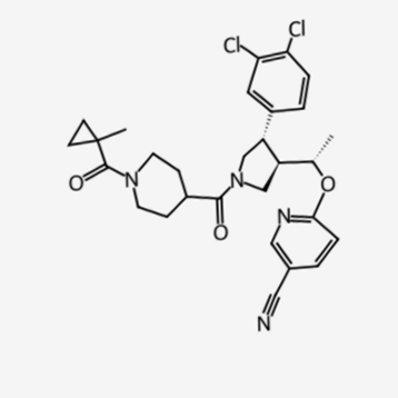 C[C@H](Oc1ccc(C#N)cn1)[C@H]1CN(C(=O)C2CCN(C(=O)C3(C)CC3)CC2)C[C@@H]1c1ccc(Cl)c(Cl)c1